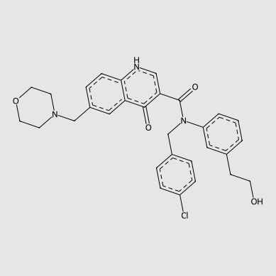 O=C(c1c[nH]c2ccc(CN3CCOCC3)cc2c1=O)N(Cc1ccc(Cl)cc1)c1cccc(CCO)c1